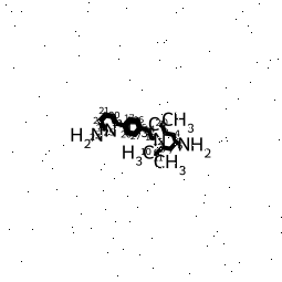 CC(C)C1CC(N)CC(C(C)C)N1CCc1ccc(-c2cccc(N)n2)cc1